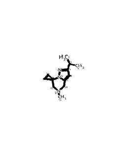 CC(C)c1cc2n(n1)C1(CC1)CN(C)C2